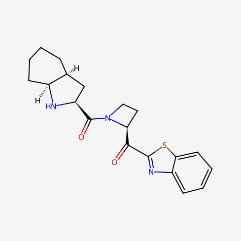 O=C(c1nc2ccccc2s1)[C@@H]1CCN1C(=O)[C@@H]1C[C@@H]2CCCC[C@@H]2N1